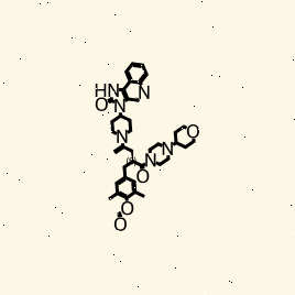 C=C(C[C@H](Cc1cc(C)c(OC=O)c(C)c1)C(=O)N1CCN(C2CCOCC2)CC1)N1CCC(n2c(=O)[nH]c3c4ccccc4ncc32)CC1